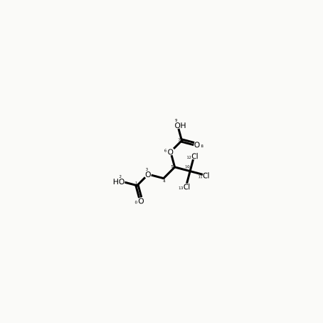 O=C(O)OCC(OC(=O)O)C(Cl)(Cl)Cl